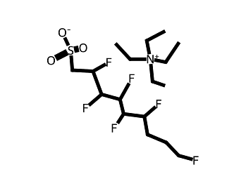 CC[N+](CC)(CC)CC.O=S(=O)([O-])CC(F)C(F)C(F)C(F)C(F)CCCF